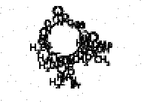 CO[C@]1(C)C[C@H](O[C@H]2[C@H](C)[C@@H](O[C@@H]3O[C@H](C)C[C@H]4[C@H]3O/C(=N/C(C)C)N4C)[C@](C)(O)C[C@@H](C)CN(C)C(=O)[C@@H]3CCCN3C(=O)[C@H](Cc3ccccc3)NC(=O)CNC(=O)[C@H](Cc3ccccc3)NC(=O)[C@@H]2C)O[C@@H](C)[C@@H]1O